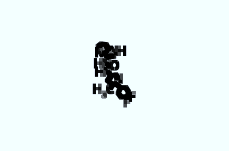 Cc1cc(NC(=O)Nc2c[nH]c3cccnc23)cnc1C1CCC(F)(F)CC1